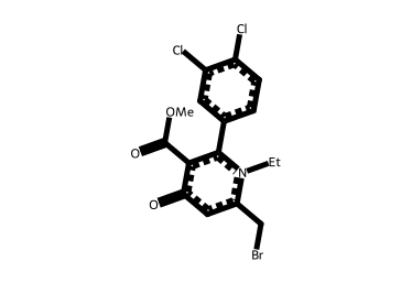 CCn1c(CBr)cc(=O)c(C(=O)OC)c1-c1ccc(Cl)c(Cl)c1